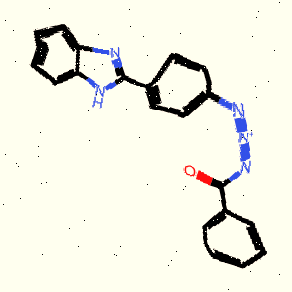 O=C(N=[N+]=Nc1ccc(-c2nc3ccccc3[nH]2)cc1)c1ccccc1